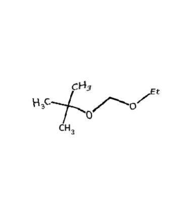 [CH2]COCOC(C)(C)C